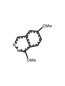 COc1ccc2c(OC)nncc2c1